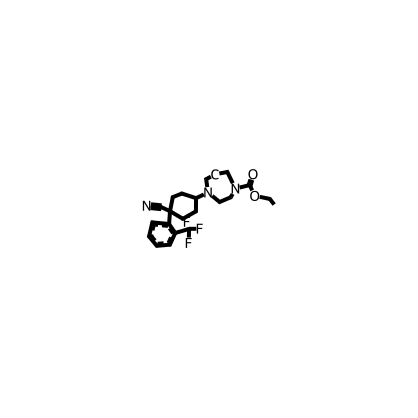 CCOC(=O)N1CCCN(C2CCC(C#N)(c3ccccc3C(F)(F)F)CC2)CC1